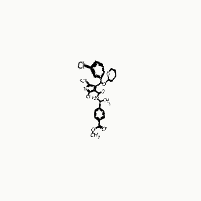 COC(=O)c1ccc(C(C)NC(=O)c2c(Cl)sc(Cl)c2C(OC2CCCCO2)c2cccc(Cl)c2)cc1